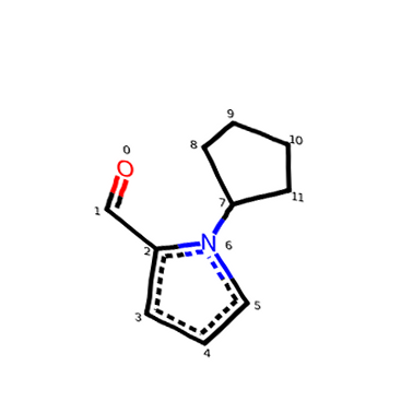 O=Cc1cccn1C1CCCC1